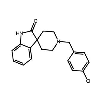 O=C1Nc2ccccc2C12CCN(Cc1ccc(Cl)cc1)CC2